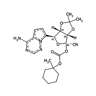 CC1(OC(=O)O[C@@]2(C#N)O[C@@H](c3ccc4c(N)ncnn34)[C@@H]3OC(C)(C)O[C@@H]32)CCCCC1